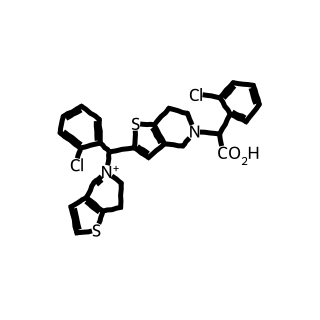 O=C(O)C(c1ccccc1Cl)N1CCc2sc(C(c3ccccc3Cl)[N+]3=Cc4ccsc4CC3)cc2C1